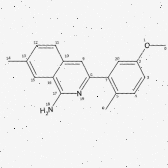 COc1ccc(C)c(-c2cc3ccc(C)cc3c(N)n2)c1